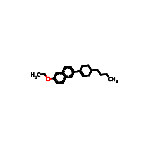 CCCCC1CC=C(c2ccc3cc(OCC)ccc3c2)CC1